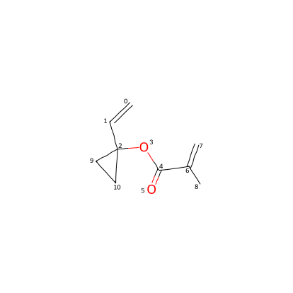 C=CC1(OC(=O)C(=C)C)CC1